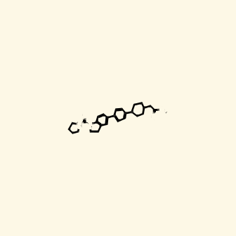 COC(=O)CC1CCC(c2ccc(-c3ccc4c(c3)CCN4C(=O)N3CCCC3)cc2)CC1